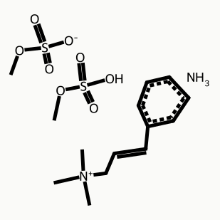 COS(=O)(=O)O.COS(=O)(=O)[O-].C[N+](C)(C)CC=Cc1ccccc1.N